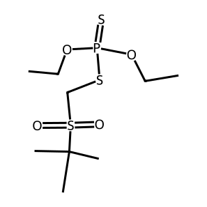 CCOP(=S)(OCC)SCS(=O)(=O)C(C)(C)C